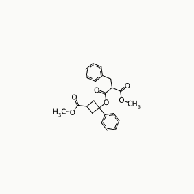 COC(=O)C1CC(OC(=O)C(Cc2ccccc2)C(=O)OC)(c2ccccc2)C1